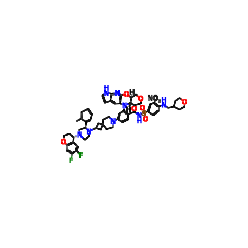 Cc1ccccc1[C@@H]1CN([C@H]2CCOc3cc(F)c(F)cc32)CCN1C1CC2(CCN(c3ccc(C(=O)NS(=O)(=O)c4ccc(NCC5CCOCC5)c([N+](=O)[O-])c4)c(N4c5cc6cc[nH]c6nc5O[C@H]5COCC[C@@H]54)c3)CC2)C1